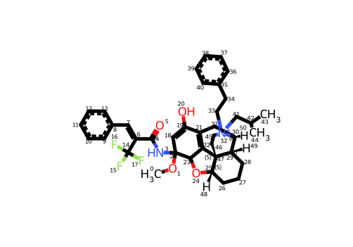 COC1(NC(=O)C(=Cc2ccccc2)C(F)(F)F)C=C(O)C2=C3C1O[C@H]1CCC[C@H]4[C@@H](C2)[N+](CCc2ccccc2)(CC(C)C)CC[C@]314